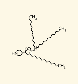 CCCCCCCCCCCCN(CCCCCCCCCCCC)CC(=O)N(CCCCCCCCCCCC)CC(=O)N1CCNCC1